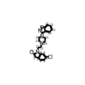 O=C1Cc2ccc(Cl)cc2N1CCN1CCN(c2nsc3ccccc23)CC1